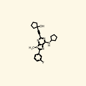 Cn1c(-c2cccc(F)c2)nc2c(NC3CCCC3)nc(C#CC3(O)CCCC3)nc21